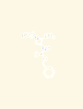 C[C@@H]1[C@@H](NC(=O)OCc2ccccc2)CN1S(=O)(=O)O